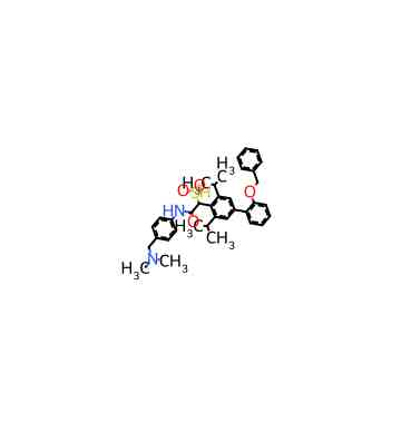 CC(C)c1cc(-c2ccccc2OCc2ccccc2)cc(C(C)C)c1C(C(=O)Nc1ccc(CN(C)C)cc1)[SH](=O)=O